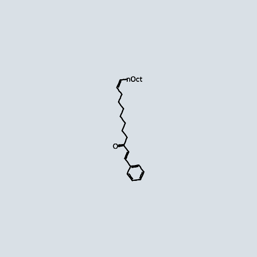 CCCCCCCC/C=C\CCCCCCCC(=O)C=Cc1ccccc1